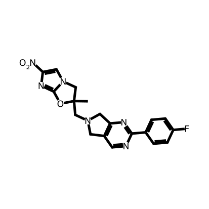 CC1(CN2Cc3cnc(-c4ccc(F)cc4)nc3C2)Cn2cc([N+](=O)[O-])nc2O1